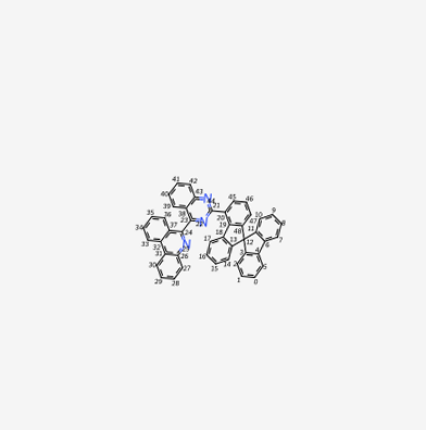 c1ccc2c(c1)-c1ccccc1C21c2ccccc2-c2c(-c3nc(-c4nc5ccccc5c5ccccc45)c4ccccc4n3)cccc21